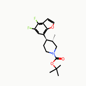 C[C@@H]1CN(C(=O)OC(C)(C)C)CC[C@H]1c1cc(F)c(F)c2ccoc12